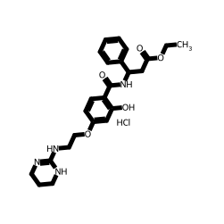 CCOC(=O)CC(NC(=O)c1ccc(OCCNC2=NCCCN2)cc1O)c1ccccc1.Cl